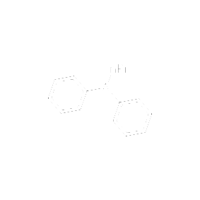 CC[CH2][Al]([c]1ccccc1)[c]1ccccc1